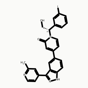 Cc1cc(-c2n[nH]c3ccc(-c4ccn([C@H](CO)c5cccc(I)c5)c(=O)c4)cc23)ccn1